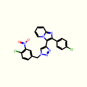 O=[N+]([O-])c1cc(Cn2cc(-c3c(-c4ccc(Cl)cc4)nc4ccccn34)nn2)ccc1Cl